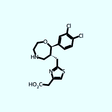 O=C(O)Cc1csc(C[C@@H]2CNCCO[C@H]2c2ccc(Cl)c(Cl)c2)n1